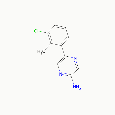 Cc1c(Cl)cccc1-c1cnc(N)cn1